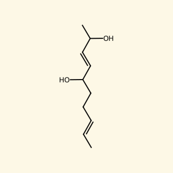 CC=CCCC(O)C=CC(C)O